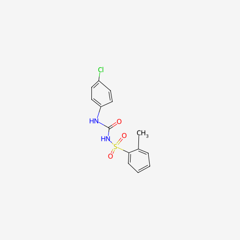 Cc1ccccc1S(=O)(=O)NC(=O)Nc1ccc(Cl)cc1